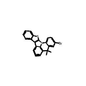 CC1(C)c2cc(Br)ccc2-n2c3sc4ccccc4c3c3cccc1c32